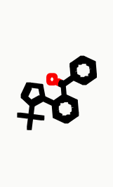 CC(C)(C)C1=C(c2ccccc2C(=O)c2ccccc2)CC=C1